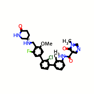 COc1cc(-c2cccc(-c3cccc(NC(=O)c4cncn(C)c4=O)c3C)c2Cl)cc(F)c1CN[C@H]1CCC(=O)NC1